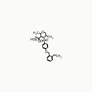 CCc1ccccc1COc1ccc(S(=O)(=O)N2C(C)COC(C)C2C(=O)NO)cc1